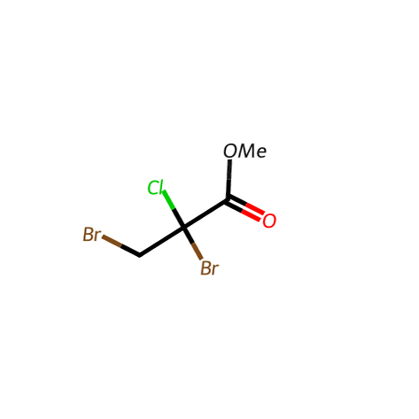 COC(=O)C(Cl)(Br)CBr